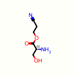 N#CCCOC(=O)[C@@H](N)CO